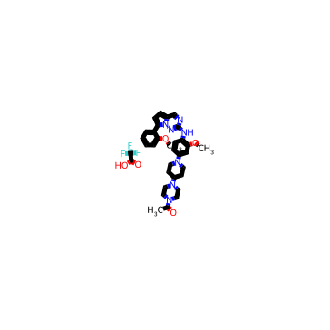 COc1cc(N2CCC(N3CCN(C(C)=O)CC3)CC2)ccc1Nc1ncc2ccc(-c3ccccc3OC)n2n1.O=C(O)C(F)(F)F